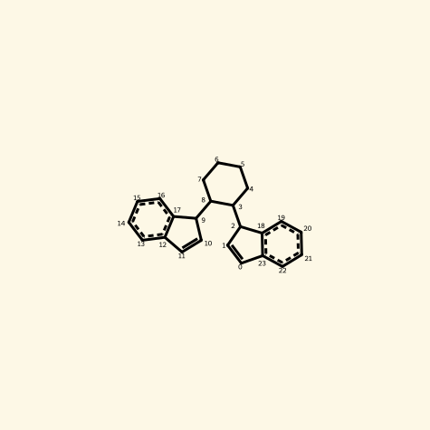 C1=CC(C2CCCCC2C2C=Cc3ccccc32)c2ccccc21